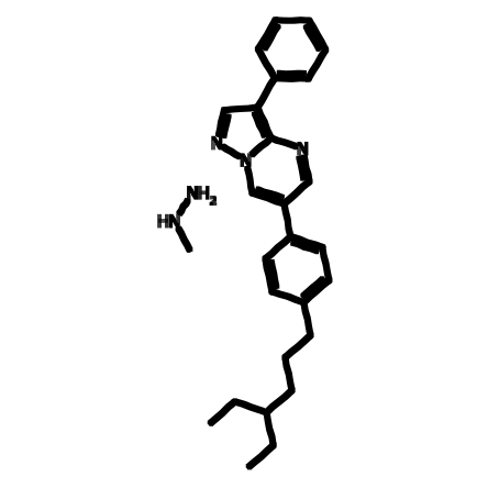 CCC(CC)CCCc1ccc(-c2cnc3c(-c4ccccc4)cnn3c2)cc1.CNN